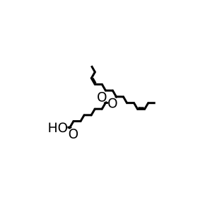 CC/C=C\CCCC(CCC/C=C\CC)OC(=O)CCCCCCC(=O)O